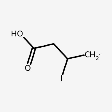 [CH2]C(I)CC(=O)O